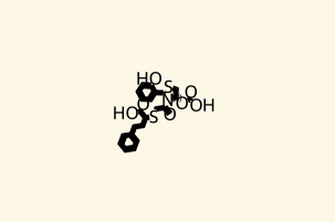 O=C(O)O[C@@H]1CSC(c2ccccc2O)N1C(=O)CSC(CCc1ccccc1)C(=O)O